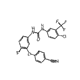 N#Cc1ccc(Oc2cc(NC(=O)Nc3ccc(Cl)c(C(F)(F)F)c3)ccc2F)cc1